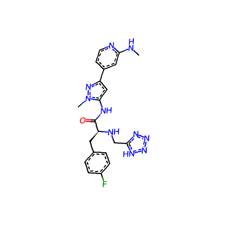 CNc1cc(-c2cc(NC(=O)[C@H](Cc3ccc(F)cc3)NCc3nnn[nH]3)n(C)n2)ccn1